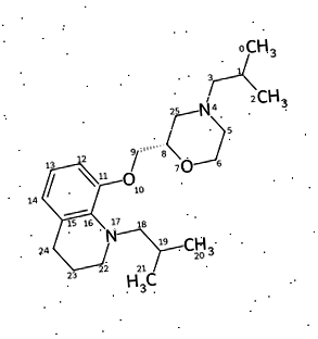 CC(C)CN1CCO[C@H](COc2cccc3c2N(CC(C)C)CCC3)C1